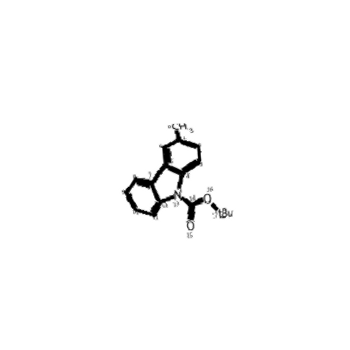 Cc1ccc2c(c1)c1ccccc1n2C(=O)OC(C)(C)C